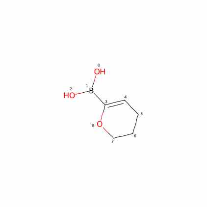 OB(O)C1=CCCCO1